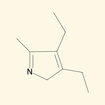 CCC1=C(CC)C(C)=NC1